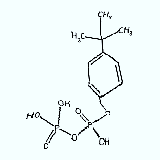 CC(C)(C)c1ccc(OP(=O)(O)OP(=O)(O)O)cc1